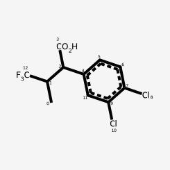 CC(C(C(=O)O)c1ccc(Cl)c(Cl)c1)C(F)(F)F